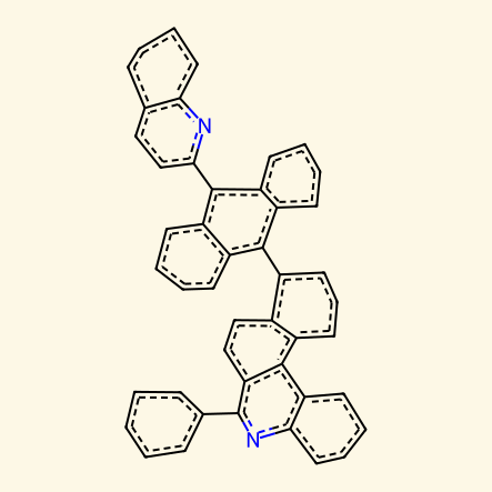 c1ccc(-c2nc3ccccc3c3c2ccc2c(-c4c5ccccc5c(-c5ccc6ccccc6n5)c5ccccc45)cccc23)cc1